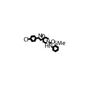 CSc1ccccc1NC(=O)N1CCC2(CC1)CC(c1ccc(Cl)cc1)=NO2